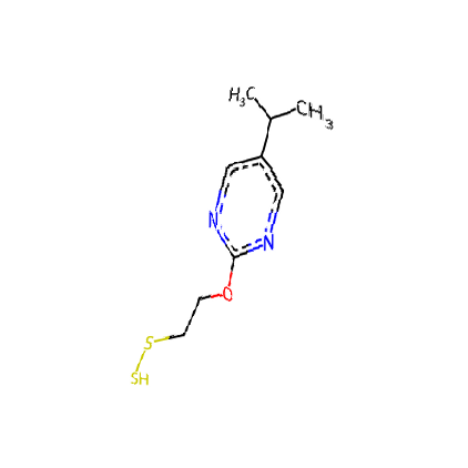 CC(C)c1cnc(OCCSS)nc1